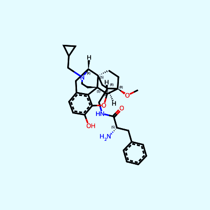 CO[C@]12CC[C@@]3(C[C@@H]1CNC(=O)[C@@H](N)Cc1ccccc1)[C@H]1Cc4ccc(O)c5c4[C@@]3(CCN1CC1CC1)[C@H]2O5